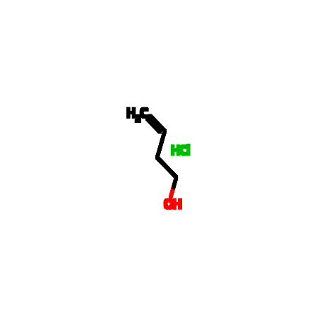 C=CCCO.Cl